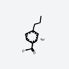 CCCc1ccc(C(=O)[O-])cc1.[Na+]